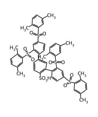 Cc1ccc(C)c(S(=O)(=O)c2ccc(-c3ccc(S(=O)(=O)O)c(-c4ccc(S(=O)(=O)c5cc(C)ccc5C)cc4S(=O)(=O)c4cc(C)ccc4C)c3)c(S(=O)(=O)c3cc(C)ccc3C)c2)c1